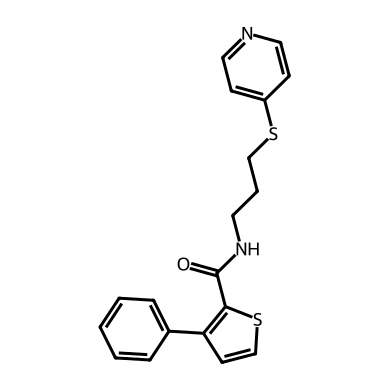 O=C(NCCCSc1ccncc1)c1sccc1-c1ccccc1